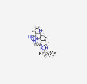 CCCCn1nc(C(CC)(OC)OC)nc1Cc1ccc(-c2ncccc2-c2nnn[nH]2)cc1